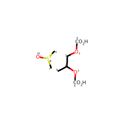 CC(COC(=O)O)OC(=O)O.C[S+](C)[O-]